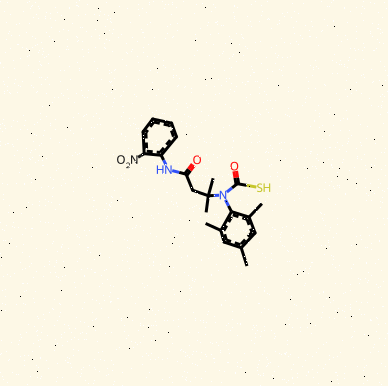 Cc1cc(C)c(N(C(=O)S)C(C)(C)CC(=O)Nc2ccccc2[N+](=O)[O-])c(C)c1